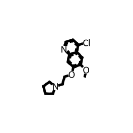 COc1cc2c(Cl)ccnc2cc1OCCN1CCCC1